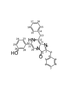 O=c1c(Cc2ccccc2)nc2c(Cc3ccccc3)[nH]c(-c3cccc(O)c3)cn1-2